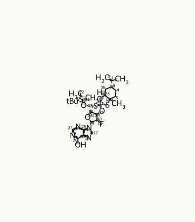 C=C(C)[C@@H]1CC[C@]2(C)SP(=S)(O[C@H]3[C@@H](F)[C@H](n4cnc5c(O)ncnc54)O[C@@H]3CO[Si](C)(C)C(C)(C)C)O[C@H]2C1